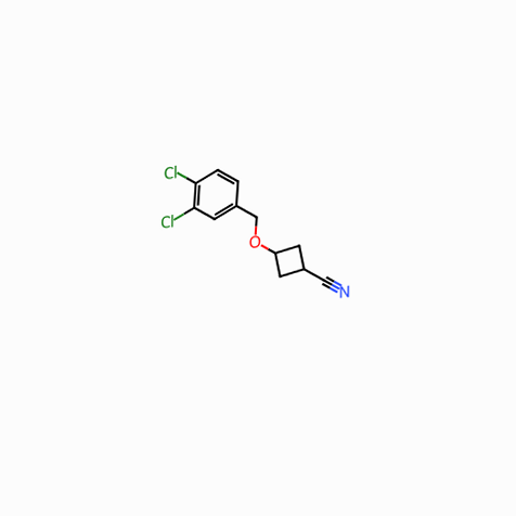 N#CC1CC(OCc2ccc(Cl)c(Cl)c2)C1